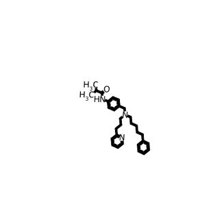 CC(C)C(=O)Nc1ccc(CN(CCCCCc2ccccc2)CCCc2ccccn2)cc1